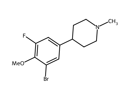 COc1c(F)cc(C2CCN(C)CC2)cc1Br